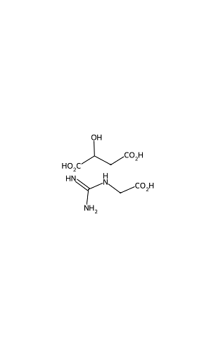 N=C(N)NCC(=O)O.O=C(O)CC(O)C(=O)O